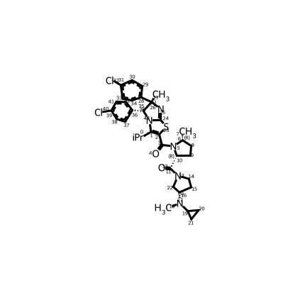 CC(C)C1=C(C(=O)N2[C@H](C)CC[C@@H]2C(=O)N2CC[C@H](N(C)C3CC3)C2)SC2=N[C@@](C)(c3ccc(Cl)cc3)[C@@H](c3ccc(Cl)cc3)N21